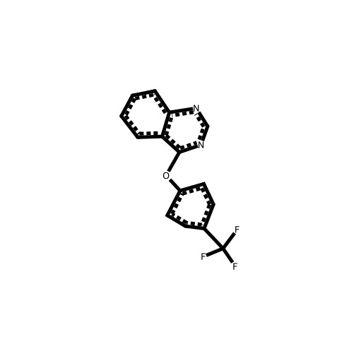 FC(F)(F)c1ccc(Oc2ncnc3ccccc23)cc1